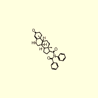 C[C@]12CCC(=O)C=C1NC[C@@H]1[C@H]2CC[C@]2(C)C(C(=O)N(C(=O)c3ccccc3)c3ccccc3)CC[C@@H]12